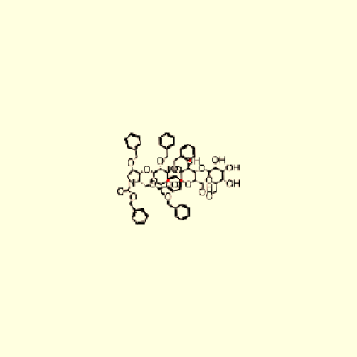 O=C(OCc1ccccc1)N1C[C@H](OCc2ccccc2)[C@H](O[C@H]2O[C@H](COCc3ccccc3)[C@H](O[C@@H]3O[C@H](CO)[C@@H](O[C@@H]4O[C@H](CO)[C@@H](O)[C@H](O)[C@H]4O)[C@H](O)[C@H]3O)[C@H](OCc3ccccc3)[C@H]2OCc2ccccc2)[C@@H]1COCc1ccccc1